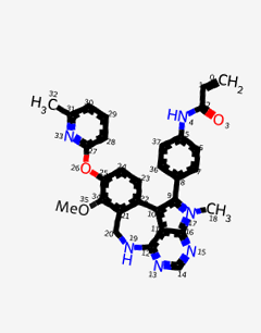 C=CC(=O)Nc1ccc(-c2c3c4c(ncnc4n2C)NCc2c-3ccc(Oc3cccc(C)n3)c2OC)cc1